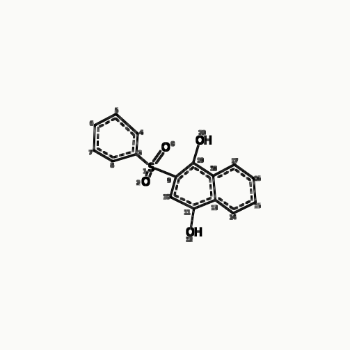 O=S(=O)(c1ccccc1)c1cc(O)c2ccccc2c1O